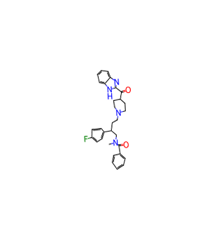 CN(CC(CCN1CCC(C(=O)c2nc3ccccc3[nH]2)CC1)c1ccc(F)cc1)C(=O)c1ccccc1